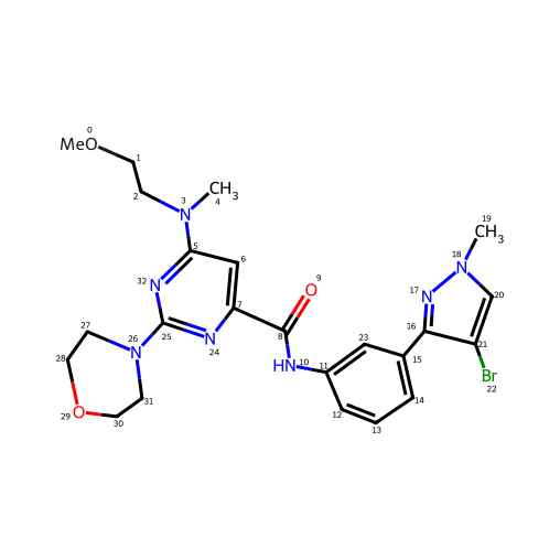 COCCN(C)c1cc(C(=O)Nc2cccc(-c3nn(C)cc3Br)c2)nc(N2CCOCC2)n1